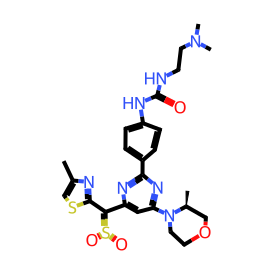 Cc1csc(C(c2cc(N3CCOC[C@@H]3C)nc(-c3ccc(NC(=O)NCCN(C)C)cc3)n2)=S(=O)=O)n1